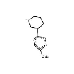 COc1ccc(C2CCCNC2)nc1